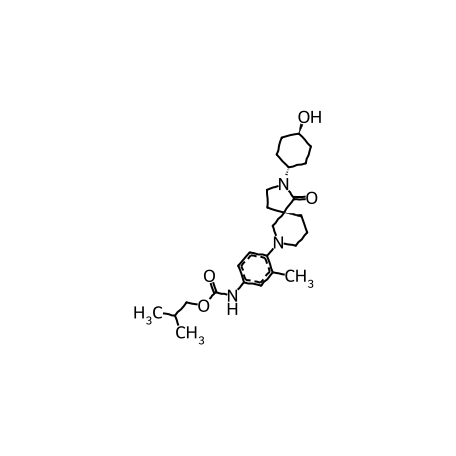 Cc1cc(NC(=O)OCC(C)C)ccc1N1CCC[C@]2(CCN([C@H]3CC[C@H](O)CC3)C2=O)C1